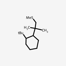 CSCC(C)(C)C1CCCCC1C(C)(C)C